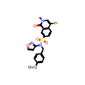 COc1ccc(CN(c2ccon2)S(=O)(=O)c2ccc3c(Br)cn(C)c(=O)c3c2)cc1